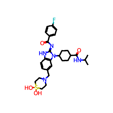 CC(C)NC(=O)C1CCC(n2c(=NC(=O)c3ccc(F)cc3)[nH]c3ccc(CN4CCS(O)(O)CC4)cc32)CC1